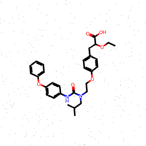 CCOC(Cc1ccc(OCCN(CC(C)C)C(=O)Nc2ccc(Oc3ccccc3)cc2)cc1)C(=O)O